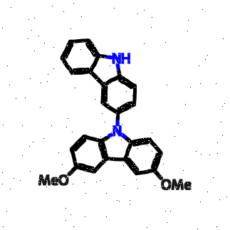 COc1ccc2c(c1)c1cc(OC)ccc1n2-c1ccc2[nH]c3ccccc3c2c1